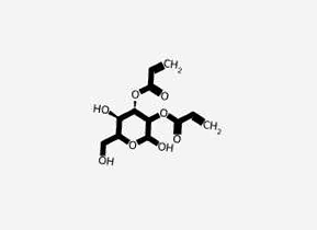 C=CC(=O)OC1C(O)OC(CO)[C@@H](O)[C@@H]1OC(=O)C=C